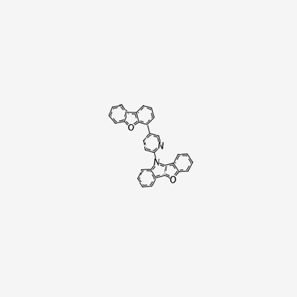 c1ccc2c(c1)oc1c(-c3ccc(-n4c5ccccc5c5oc6ccccc6c54)nc3)cccc12